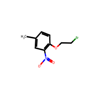 Cc1ccc(OCCBr)c([N+](=O)[O-])c1